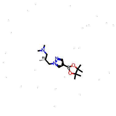 C[C@H](CN(C)C)Cn1cc(B2OC(C)(C)C(C)(C)O2)cn1